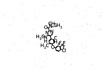 CCN(C)C(=O)c1ncc(-c2cc(C)c(Oc3ccc(Cl)c(C(F)(F)F)c3)cc2C)c(NC)n1